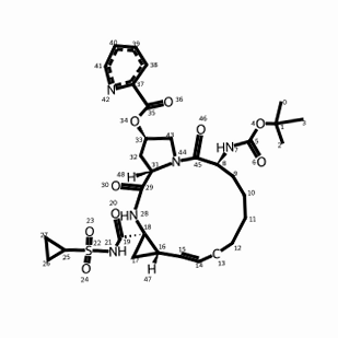 CC(C)(C)OC(=O)N[C@H]1CCCCC/C=C\[C@@H]2C[C@@]2(C(=O)NS(=O)(=O)C2CC2)NC(=O)[C@@H]2C[C@@H](OC(=O)c3ccccn3)CN2C1=O